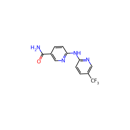 NC(=O)c1ccc(Nc2ccc(C(F)(F)F)cn2)nc1